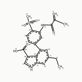 C=C(C)C(=O)Nc1cc(-c2nc(CC)nc3[nH]cc(C(=O)O)c23)ccc1S(C)(=O)=O